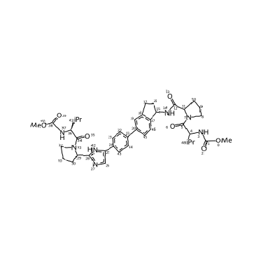 COC(=O)NC(C(=O)N1CCCC1C(=O)NC1CCc2cc(-c3ccc(-c4cnc(C5CCCN5C(=O)[C@@H](NC(=O)OC)C(C)C)[nH]4)cc3)ccc21)C(C)C